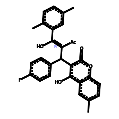 CC(=O)/C(=C(/O)c1cc(C)ccc1C)C(c1ccc(F)cc1)c1c(O)c2cc(C)ccc2oc1=O